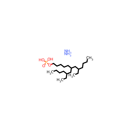 CCCCC(CC)CC(CCCCCOP(=O)(O)O)CC(CC)CCCC.N.N